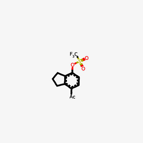 CC(=O)c1ccc(OS(=O)(=O)C(F)(F)F)c2c1CCC2